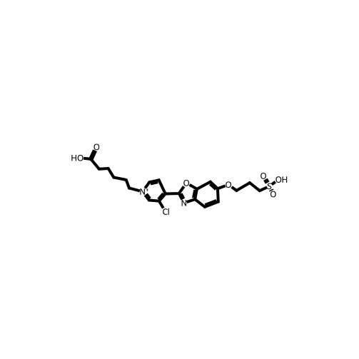 O=C(O)CCCCC[n+]1ccc(-c2nc3ccc(OCCCS(=O)(=O)O)cc3o2)c(Cl)c1